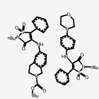 CCCCN1C(=O)C(Nc2ccc(N3CCOCC3)cc2)=C(c2ccccc2)S1(=O)=O.CCCCN1C(=O)C(Nc2ccc3c(c2)CCN(C(=O)OC(C)(C)C)C3)=C(c2ccccc2)S1(=O)=O